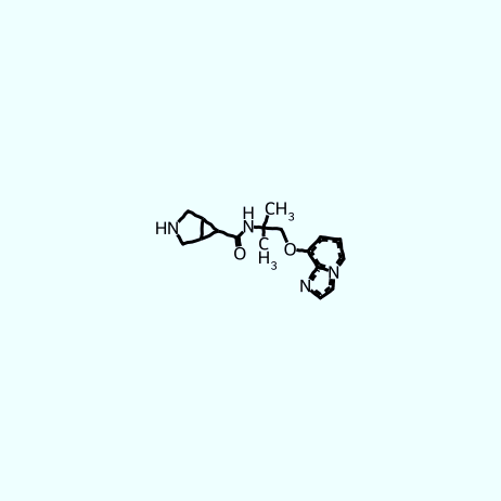 CC(C)(COc1cccn2ccnc12)NC(=O)C1C2CNCC21